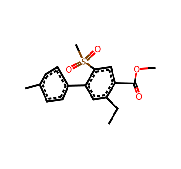 CCc1cc(-c2ccc(C)cc2)c(S(C)(=O)=O)cc1C(=O)OC